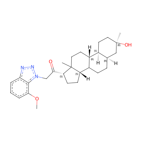 COc1cccc2nnn(CC(=O)[C@H]3CC[C@H]4C5CC[C@@H]6C[C@](C)(O)CC[C@@H]6[C@H]5CCC34C)c12